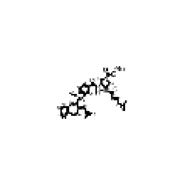 CN(C)C/C=C/C(=O)N[C@H]1CN(C(=O)OC(C)(C)C)C[C@@H]1NC(=O)c1ccc2c(c1)nc(C1=Cc3cccnc3CCC1CC1CC1)n2C